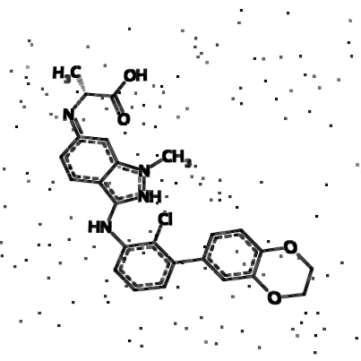 C[C@@H](N=c1ccc2c(Nc3cccc(-c4ccc5c(c4)OCCO5)c3Cl)[nH]n(C)c-2c1)C(=O)O